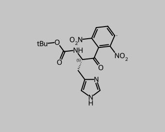 CC(C)(C)OC(=O)N[C@@H](Cc1c[nH]cn1)C(=O)c1c([N+](=O)[O-])[c]ccc1[N+](=O)[O-]